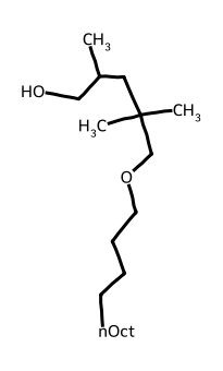 CCCCCCCCCCCCOCC(C)(C)CC(C)CO